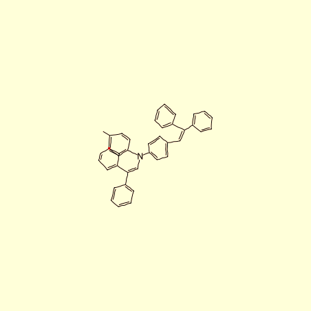 Cc1ccc(N(C=C(c2ccccc2)c2ccccc2)c2ccc(C=C(c3ccccc3)c3ccccc3)cc2)cc1